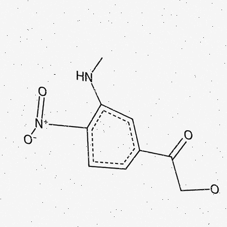 CNc1cc(C(=O)CO)ccc1[N+](=O)[O-]